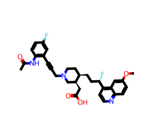 COc1ccc2nccc([C@@H](F)CC[C@@H]3CCN(CC#Cc4cc(F)ccc4NC(C)=O)C[C@@H]3CC(=O)O)c2c1